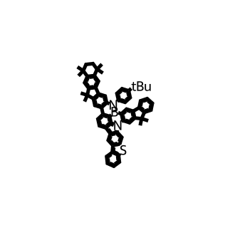 CC(C)(C)c1ccc(N2B3c4cc5c(cc4-n4c6cc7sc8ccccc8c7cc6c6ccc(c3c64)-c3cc4c(cc32)-c2cc3c(cc2C4(C)C)C(C)(C)CCC3(C)C)C(C)(C)c2ccccc2-5)cc1